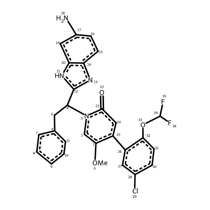 COc1cn(C(Cc2ccccc2)c2nc3ccc(N)cc3[nH]2)c(=O)cc1-c1cc(Cl)ccc1OC(F)F